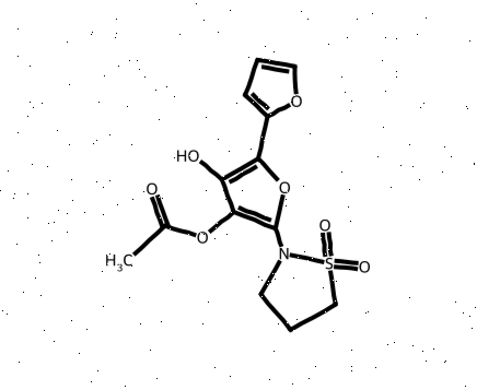 CC(=O)Oc1c(N2CCCS2(=O)=O)oc(-c2ccco2)c1O